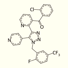 O=C(c1ccccc1Cl)c1cccnc1-c1nnn(Cc2cc(C(F)(F)F)ccc2F)c1-c1ccncc1